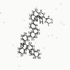 C/C=C\C(=C/C)C1C=Cc2ccc3ccc(-c4ccc5c(ccc6ccc(-c7cccc(-c8nc9ccccc9c9c8ccc8c%10ccccc%10sc89)c7)cc65)c4)nc3c2N1